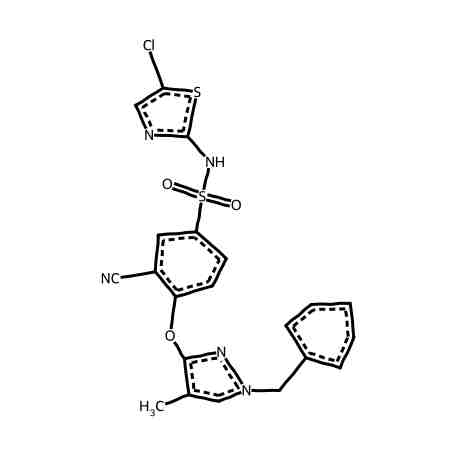 Cc1cn(Cc2ccccc2)nc1Oc1ccc(S(=O)(=O)Nc2ncc(Cl)s2)cc1C#N